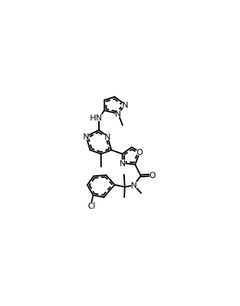 Cc1cnc(Nc2ccnn2C)nc1-c1coc(C(=O)N(C)C(C)(C)c2cccc(Cl)c2)n1